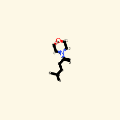 C=C(CCC(C)C)N1CCOCC1